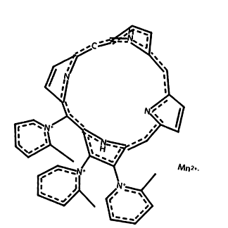 Cc1cccc[n+]1-c1c(-[n+]2ccccc2C)c2[nH]c1cc1nc(cc3ccc(cc4nc(c2-[n+]2ccccc2C)C=C4)[nH]3)C=C1.[Mn+2]